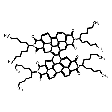 CCCCCC(CCCCC)n1c(=O)c2ccc3c4ccc5c(=O)n(C(CCCCC)CCCCC)c(=O)c6cc7c8c9cc%10c(=O)n(C(CCCCC)CCCCC)c(=O)c%11ccc%12c%13ccc%14c(=O)n(C(CCCCC)CCCCC)c(=O)c%15cc(c8c8cc(c1=O)c2c3c8c7c4c56)c(c%13c%14%15)c9c%12c%11%10